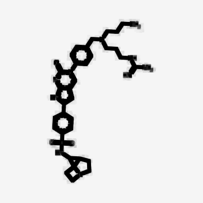 N=C(N)NCCCN(CCCN)Cc1ccc(-n2cc3cc(-c4ccc(S(=O)(=O)NC5C6CCN7CCC657)cc4)[nH]c3nc2=O)cc1